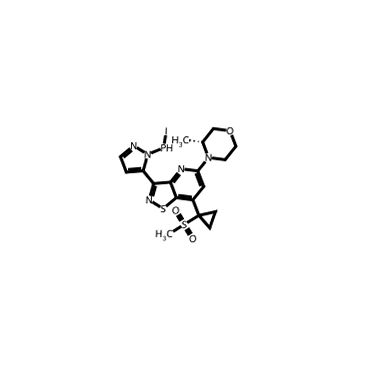 C[C@@H]1COCCN1c1cc(C2(S(C)(=O)=O)CC2)c2snc(-c3ccnn3PI)c2n1